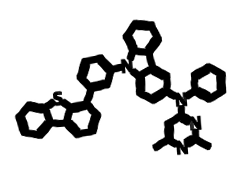 Cc1cc(N(c2ccccc2)c2ccc3c(c2)c2ccccc2n3-c2cccc(-c3cccc4c3sc3ccccc34)c2)nc(C)n1